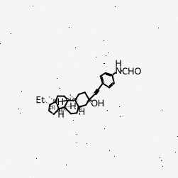 CC[C@H]1CC[C@H]2[C@@H]3CC[C@@H]4C[C@@](O)(C#Cc5ccc(NC=O)cc5)CC[C@]4(C)[C@H]3CC[C@]12C